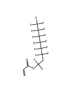 C=CC(=O)OC(F)(F)CC(F)(F)C(F)(F)C(F)(F)C(F)(F)C(F)(F)C(F)(F)F